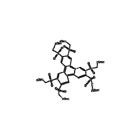 CCCCCCCCCCCS(=O)(=O)c1cc2c3cc(S(=O)(=O)CCCCCCCCCCC)c(S(=O)(=O)CCCCCCCCCCC)cc3c3cc(S(=O)(=O)CCCCCCCCCCC)c(S(=O)(=O)CCCCCCCCCCC)cc3c2cc1S(=O)(=O)CCCCCCCCCCC